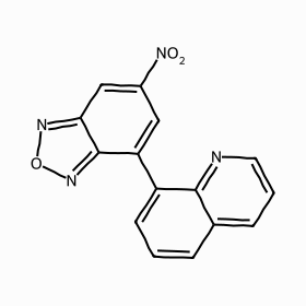 O=[N+]([O-])c1cc(-c2cccc3cccnc23)c2nonc2c1